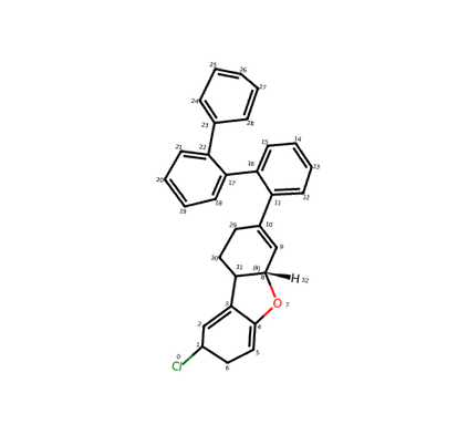 ClC1C=C2C(=CC1)O[C@H]1C=C(c3ccccc3-c3ccccc3-c3ccccc3)CCC21